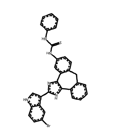 S=C(Nc1ccccc1)Nc1ccc2c(c1)-c1nc(-c3c[nH]c4ccc(Br)cc34)[nH]c1-c1ccccc1C2